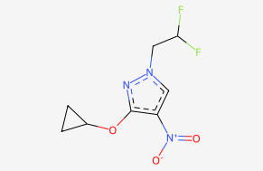 O=[N+]([O-])c1cn(CC(F)F)nc1OC1CC1